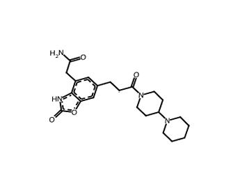 NC(=O)Cc1cc(C[CH]C(=O)N2CCC(N3CCCCC3)CC2)cc2oc(=O)[nH]c12